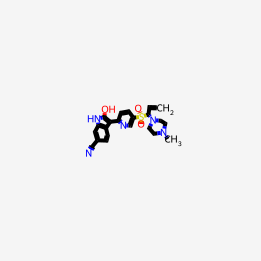 C=CC(N1CCN(C)CC1)S(=O)(=O)c1ccc(-c2c(O)[nH]c3cc(C#N)ccc23)nc1